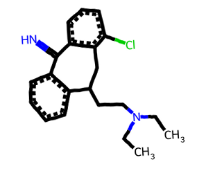 CCN(CC)CCC1Cc2c(Cl)cccc2C(=N)c2ccccc21